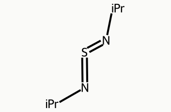 CC(C)N=S=NC(C)C